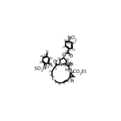 CCOC(=O)[C@@]12C[C@H]1C=CCCCCC[C@H](N)C(=O)N1C[C@H](OC(=O)c3ccc([N+](=O)[O-])cc3)C[C@H]1C(=O)N2.Cc1ccc(S(=O)(=O)O)cc1